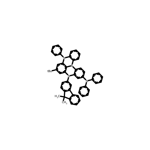 CC(C)(C)c1cc2c3c(c1)N(c1ccc4c(c1)-c1ccccc1C4(C)C)c1cc(N(c4ccccc4)c4ccccc4)ccc1B3c1ccccc1N2c1ccccc1